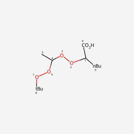 CCCCC(OOC(C)OOC(C)(C)C)C(=O)O